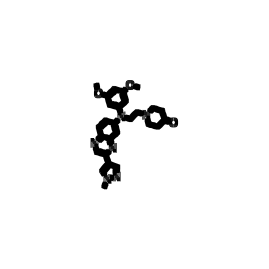 COc1cc(OC)cc(N(CCN2CCC(=O)CC2)c2ccc3ncc(-c4cnn(C)c4)nc3c2)c1